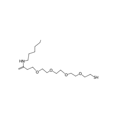 C=C(CCOCCOCCOCCOCCS)NCCCCCC